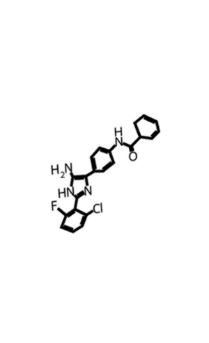 Nc1[nH]c(-c2c(F)cccc2Cl)nc1-c1ccc(NC(=O)C2C=CC=CC2)cc1